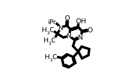 Cc1cccc(C2(Cc3nc(=O)c(O)c4n3CC(C)(C)N(C(C)C)C4=O)CCCC2)c1